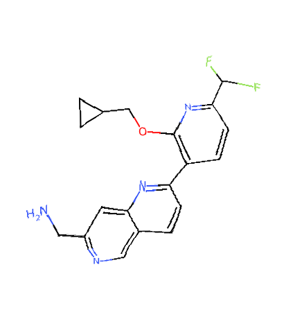 NCc1cc2nc(-c3ccc(C(F)F)nc3OCC3CC3)ccc2cn1